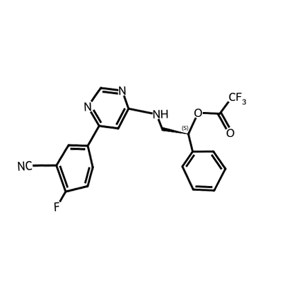 N#Cc1cc(-c2cc(NC[C@@H](OC(=O)C(F)(F)F)c3ccccc3)ncn2)ccc1F